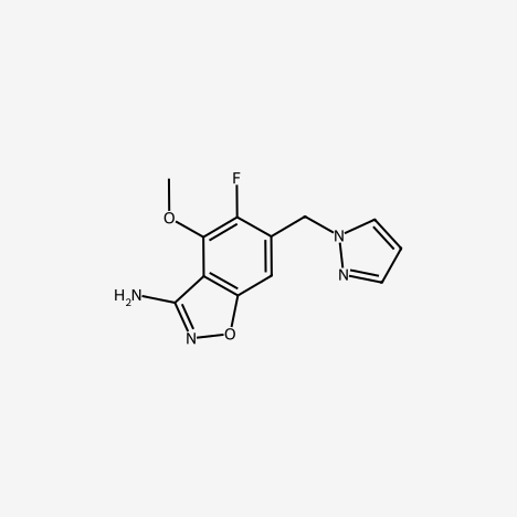 COc1c(F)c(Cn2cccn2)cc2onc(N)c12